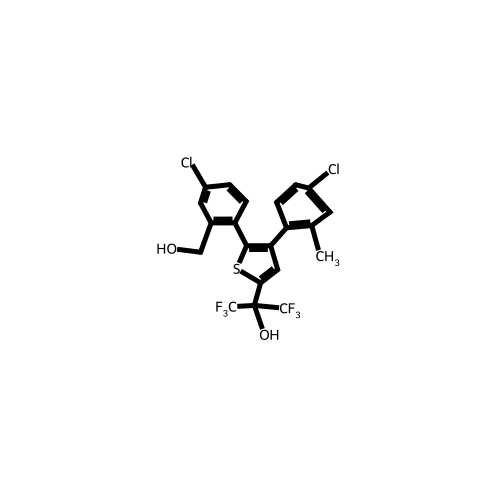 Cc1cc(Cl)ccc1-c1cc(C(O)(C(F)(F)F)C(F)(F)F)sc1-c1ccc(Cl)cc1CO